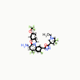 CCN1CC(c2nnc(-c3cc4c(cc3F)C(F)(F)C[C@@H](N)C(=O)N4Cc3ccc(OC(F)(F)F)cc3)o2)CC(F)(F)C1